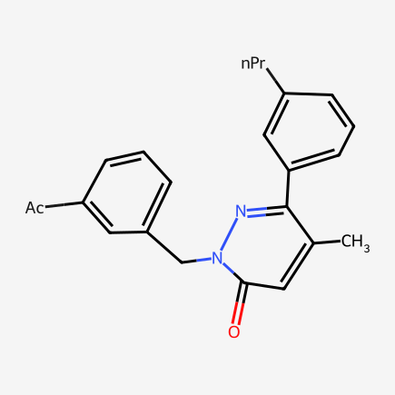 CCCc1cccc(-c2nn(Cc3cccc(C(C)=O)c3)c(=O)cc2C)c1